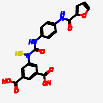 O=C(O)c1cc(C(=O)O)cc(N(S)C(=O)Nc2ccc(NC(=O)c3ccco3)cc2)c1